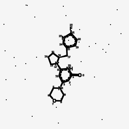 O=c1cc(N2CCOCC2)cc(N2CCC[C@H]2Cc2ccc(F)nc2)[nH]1